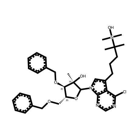 CC(C)(CCCc1cn(C2O[C@H](COCc3ccccc3)[C@@H](OCc3ccccc3)[C@@]2(C)O)c2ncnc(Cl)c12)[Si](C)(C)O